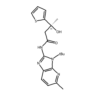 Cc1ccc2nc(NC(=O)C[C@](C)(O)c3cccs3)n(C(C)(C)C)c2n1